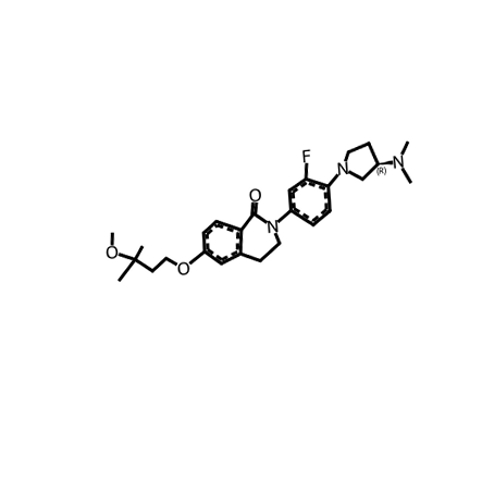 COC(C)(C)CCOc1ccc2c(c1)CCN(c1ccc(N3CC[C@@H](N(C)C)C3)c(F)c1)C2=O